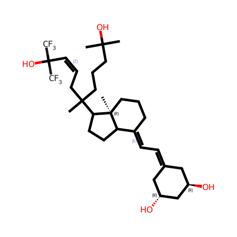 CC(C)(O)CCCC(C)(C/C=C\C(O)(C(F)(F)F)C(F)(F)F)C1CCC2/C(=C/C=C3C[C@@H](O)C[C@H](O)C3)CCC[C@@]21C